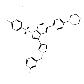 Cc1ccc(S(=O)(=O)n2cc(-c3cnn(Cc4cccc(F)c4)c3)c3cc(-c4ccc(N5CCNCC5)cc4)cnc32)cc1.Cl